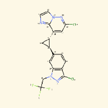 FC(F)(F)Cn1nc(Cl)c2ccc([C@H]3C[C@@H]3c3cc(Cl)nn4ccnc34)cc21